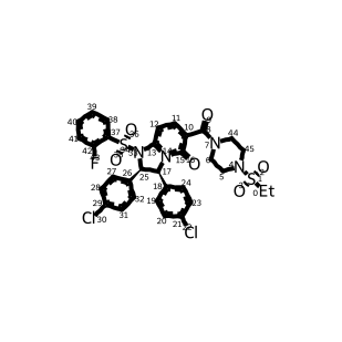 CCS(=O)(=O)N1CCN(C(=O)c2ccc3n(c2=O)[C@@H](c2ccc(Cl)cc2)[C@@H](c2ccc(Cl)cc2)N3S(=O)(=O)c2ccccc2F)CC1